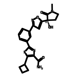 CN1CC[C@@](O)(c2cc(-c3cccc(-c4nc(C(N)=O)c(C5CCC5)s4)c3)no2)C1=O